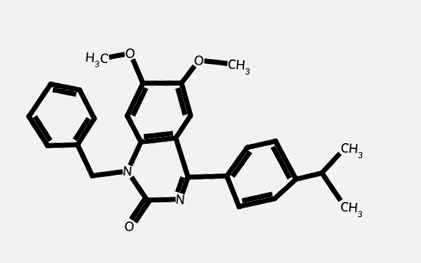 COc1cc2c(-c3ccc(C(C)C)cc3)nc(=O)n(Cc3ccccc3)c2cc1OC